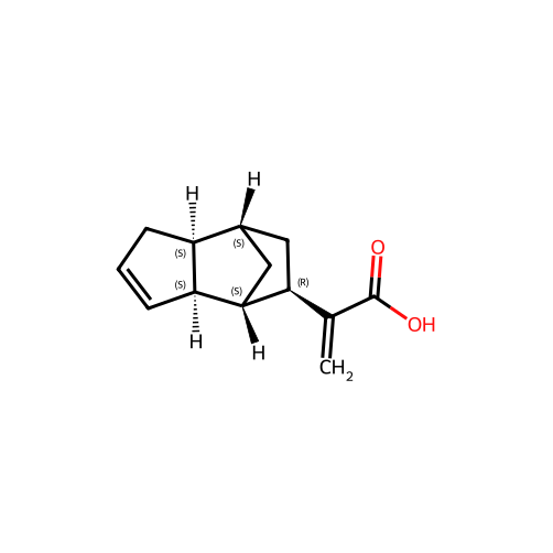 C=C(C(=O)O)[C@@H]1C[C@@H]2C[C@H]1[C@H]1C=CC[C@@H]21